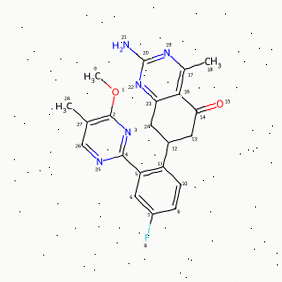 COc1nc(-c2cc(F)ccc2C2CC(=O)c3c(C)nc(N)nc3C2)ncc1C